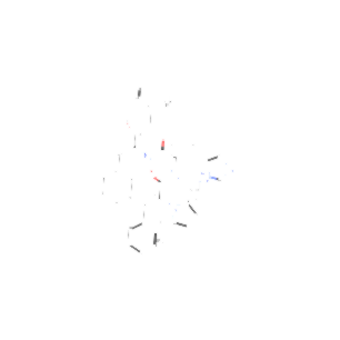 C=C[C@@H](C[C@H](O)[C@H](CC1CCCCC1)NC(=O)[C@H](Cc1c[nH]cn1)NC(=O)[C@H](Cc1ccccc1)n1c(C)ccc1C)C(C)C